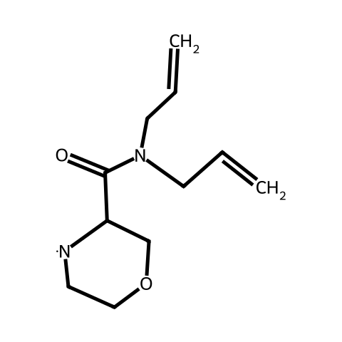 C=CCN(CC=C)C(=O)C1COCC[N]1